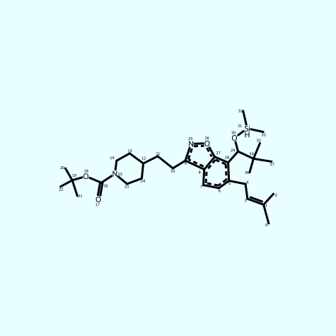 CC(C)=CCc1ccc2c(CCC3CCN(C(=O)OC(C)(C)C)CC3)noc2c1C(O[SiH](C)C)C(C)(C)C